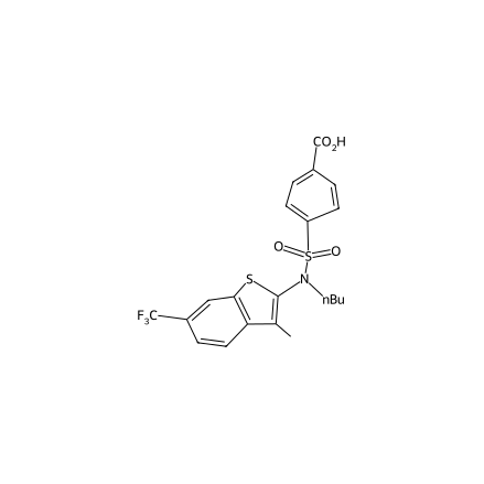 CCCCN(c1sc2cc(C(F)(F)F)ccc2c1C)S(=O)(=O)c1ccc(C(=O)O)cc1